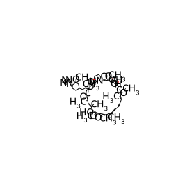 COC1CC(C[C@@H](C)[C@@H]2CC(=O)[C@H](C)/C=C(\C)[C@@H](O)[C@@H](OC)C(=O)[C@@H](C)C[C@H](C)/C=C/C=C/C=C(\C)[C@@H](OC)C[C@@H]3CCC(C)C(O)(O3)C(=O)C(=O)N3CCCC[C@H]3C(=O)O2)CC[C@@H]1n1cnnn1